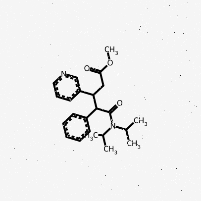 COC(=O)CC(c1cccnc1)C(C(=O)N(C(C)C)C(C)C)c1ccccc1